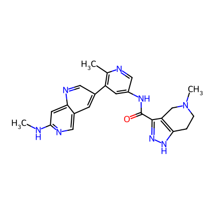 CNc1cc2ncc(-c3cc(NC(=O)c4n[nH]c5c4CN(C)CC5)cnc3C)cc2cn1